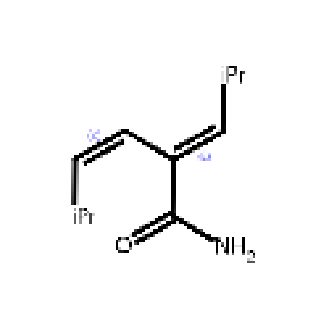 CC(C)/C=C\C(=C/C(C)C)C(N)=O